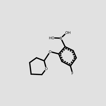 OB(O)c1ccc(F)cc1OC1CCCCO1